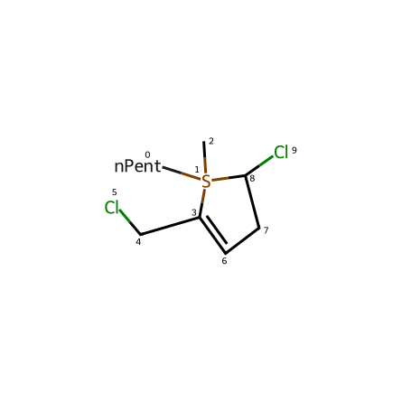 CCCCCS1(C)C(CCl)=CCC1Cl